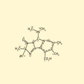 Cc1c[n+]2c(c(C(=O)O)c1C)C1=NC(C)(C(C)C)C(=O)N1[C-]2N(C)C